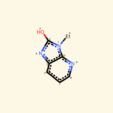 CCn1c(O)nc2cccnc21